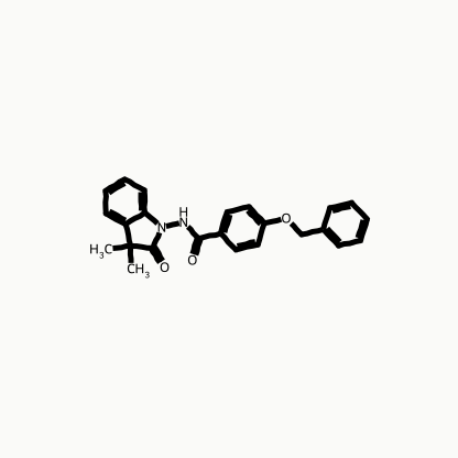 CC1(C)C(=O)N(NC(=O)c2ccc(OCc3ccccc3)cc2)c2ccccc21